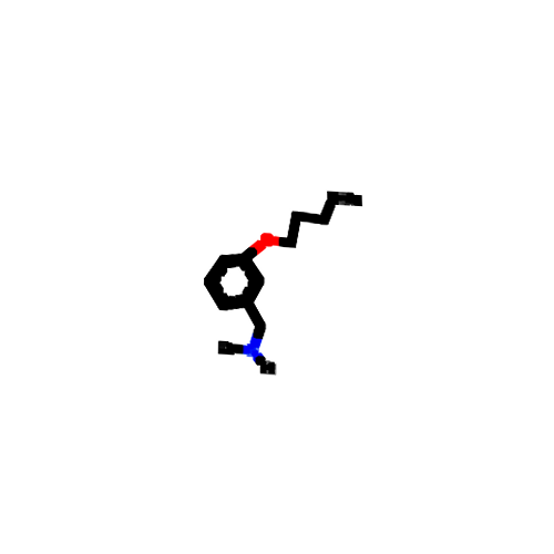 CCN(CC)Cc1cccc(OCCCNC(C)=O)c1